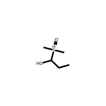 CCC(O)[SH](C)(C)=O